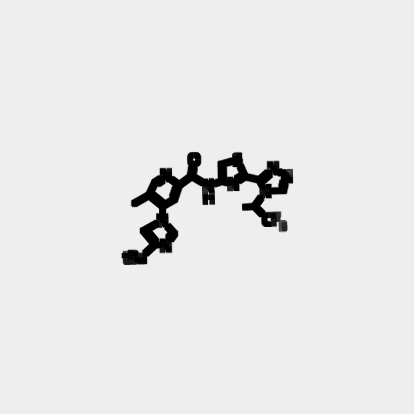 Cc1cnc(C(=O)Nc2csc(-c3nncn3C(C)C(F)(F)F)n2)cc1-n1cnc(C(C)(C)C)c1